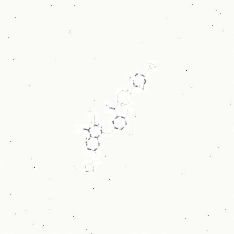 O=C(c1cc(Cc2n[nH]c(=O)c3ccc(OC4CCC4)cc23)ccc1F)N1CCN(c2ncc(C3CC3)cn2)CC1